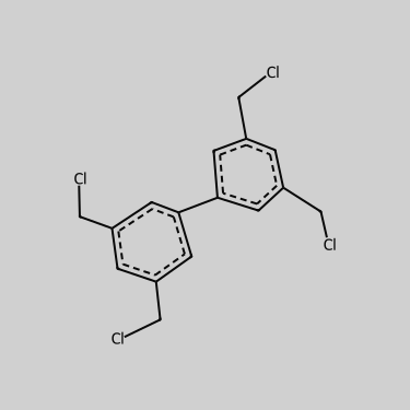 ClCc1cc(CCl)cc(-c2cc(CCl)cc(CCl)c2)c1